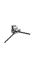 CCCCCCCCCCCCC(=O)OCC(COP(=O)(O)OCCN)OC(=O)CCCCCCCCCCCC